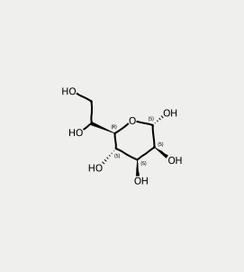 OCC(O)[C@H]1O[C@H](O)[C@@H](O)[C@@H](O)[C@@H]1O